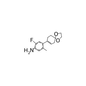 Cc1cc(N)c(F)cc1C1=CCC2(CC1)OCCO2